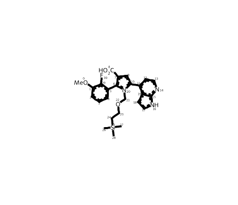 COc1cccc(-c2c(C(=O)O)cc(-c3ccnc4[nH]ccc34)n2COCC[Si](C)(C)C)c1F